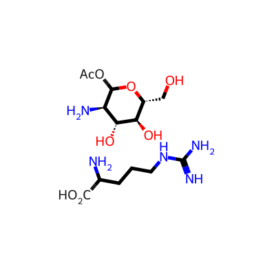 CC(=O)OC1O[C@H](CO)[C@@H](O)[C@H](O)[C@H]1N.N=C(N)NCCCC(N)C(=O)O